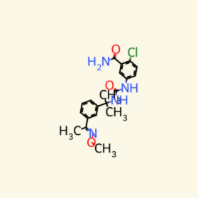 CON=C(C)c1cccc(C(C)(C)NC(=O)Nc2ccc(Cl)c(C(N)=O)c2)c1